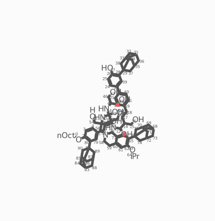 CCCCCCCCOc1ccc(CCC(CO)(NC(O)C(CO)CCc2ccc(-c3ccc(O)c(C45CC6CC(CC(C6)C4)C5)c3)cc2)C(O)(NC(CO)CO)NC(CO)(CO)CN2CCc3cc(OC(C)C)c(C45CC6CC(CC(C6)C4)C5)cc3C2)cc1C12CC3CC(CC(C3)C1)C2